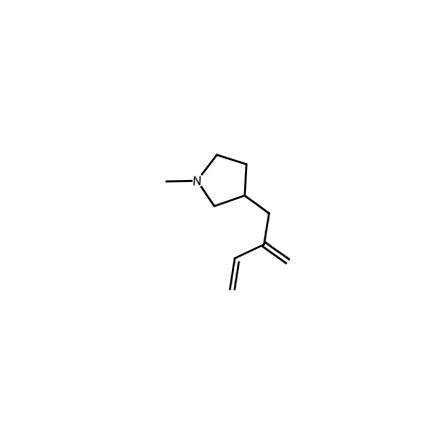 C=CC(=C)CC1CCN(C)C1